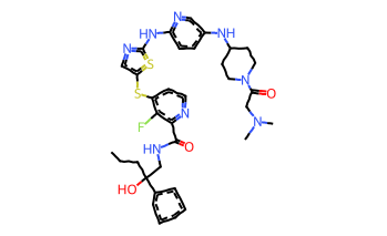 CCCC(O)(CNC(=O)c1nccc(Sc2cnc(Nc3ccc(NC4CCN(C(=O)CN(C)C)CC4)cn3)s2)c1F)c1ccccc1